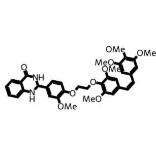 COc1cc(C2NC(=O)c3ccccc3N2)ccc1OCCOc1c(OC)cc(/C=C\c2cc(OC)c(OC)c(OC)c2)cc1OC